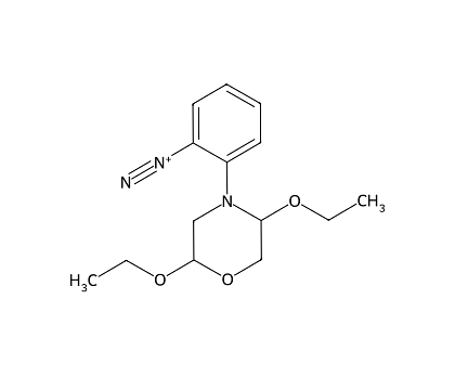 CCOC1CN(c2ccccc2[N+]#N)C(OCC)CO1